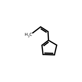 C/C=C\C1=CC=CC1